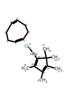 C1=C\CC/C=C\CC/1.CC1=C(C)C(C)(C)[C]([Ru][Cl])=C1C